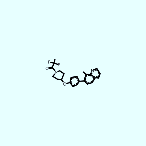 Cc1c(-c2ccc(OC3CCN(C(=O)C(C)(F)F)CC3)cc2)ccc2cccnc12